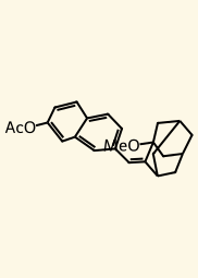 COC12CC3CC(CC(C3)C1=Cc1ccc3ccc(OC(C)=O)cc3c1)C2